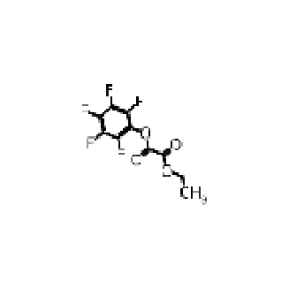 CCOC(=O)C(=O)Oc1c(F)c(F)c(F)c(F)c1F